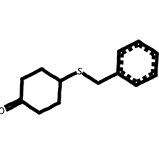 O=C1CCC(SCc2ccccc2)CC1